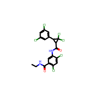 CCNC(=O)c1cc(NC(=O)C2C(c3cc(Cl)cc(Cl)c3)C2(Cl)Cl)c(Cl)cc1Cl